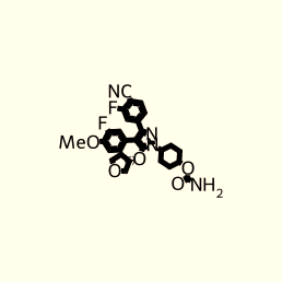 COc1ccc(-c2c(-c3ccc(C#N)c(F)c3)nn(C3CCC(OC(N)=O)CC3)c2O[C@H]2CCOC2)cc1F